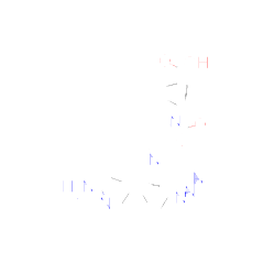 Cc1cc(-c2ccc(N)nc2)c(CN2CCC3(CC2)CN(c2ccc(C(=O)O)cc2)C(=O)O3)cc1N=[N+]=[N-]